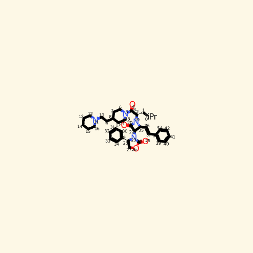 CC(C)C[C@@H](C(=O)N1CCC(CCN2CCCCC2)CC1)N1C(=O)C(N2C(=O)OC[C@@H]2c2ccccc2)C1C=Cc1ccccc1